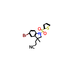 CC1(CCC#N)CN(S(=O)(=O)c2cccs2)c2ccc(Br)cc21